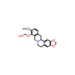 COc1ccc2c(c1OCO)CN1CCc3cc4c(cc3C1C2)OCO4